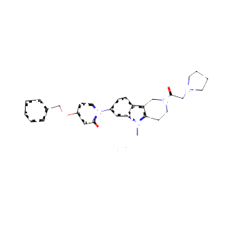 Cl.Cl.Cn1c2c(c3ccc(-n4ccc(OCc5ccccc5)cc4=O)cc31)CN(C(=O)CN1CCCC1)CC2